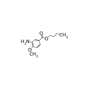 CCCCOC(=O)c1ccc(OC)c(N)c1